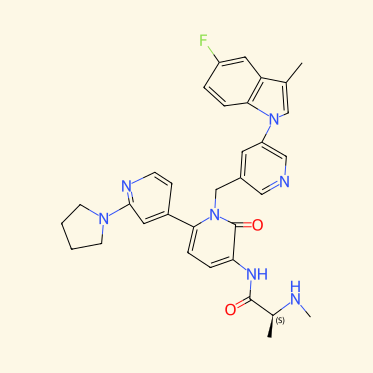 CN[C@@H](C)C(=O)Nc1ccc(-c2ccnc(N3CCCC3)c2)n(Cc2cncc(-n3cc(C)c4cc(F)ccc43)c2)c1=O